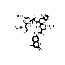 CC(=O)N[C@@H](CC(C)C)C(=O)N[C@@H](CCC(=O)O)C(=O)N[C@@H](Cc1cnc[nH]1)C(=O)N[C@@H](CC(=O)O)C(=O)Nc1ccc2c(C)cc(=O)oc2c1